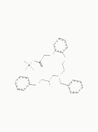 CC(C)(C)OC(=O)COc1ccccc1OCCN(Cc1ccccc1)CC(O)COc1ccccc1